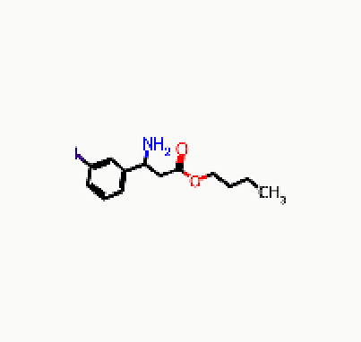 CCCCOC(=O)CC(N)c1cccc(I)c1